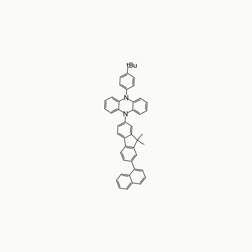 CC(C)(C)c1ccc(N2c3ccccc3N(c3ccc4c(c3)C(C)(C)c3cc(-c5cccc6ccccc56)ccc3-4)c3ccccc32)cc1